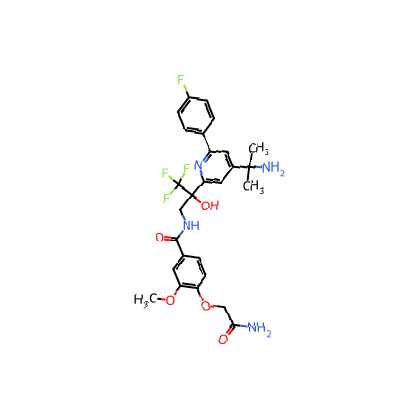 COc1cc(C(=O)NCC(O)(c2cc(C(C)(C)N)cc(-c3ccc(F)cc3)n2)C(F)(F)F)ccc1OCC(N)=O